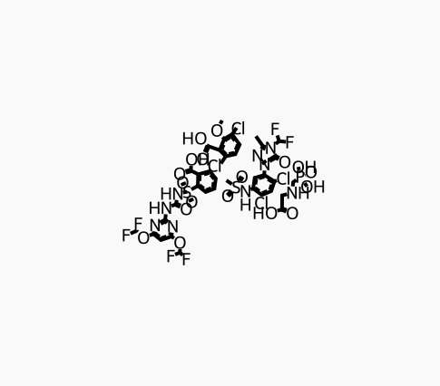 COc1c(Cl)ccc(Cl)c1C(=O)O.Cc1nn(-c2cc(NS(C)(=O)=O)c(Cl)cc2Cl)c(=O)n1C(F)F.O=C(Nc1nc(OC(F)F)cc(OC(F)F)n1)NS(=O)(=O)c1ccccc1C(=O)O.O=C(O)CNCP(=O)(O)O